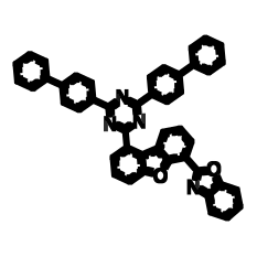 c1ccc(-c2ccc(-c3nc(-c4ccc(-c5ccccc5)cc4)nc(-c4cccc5oc6c(-c7nc8ccccc8o7)cccc6c45)n3)cc2)cc1